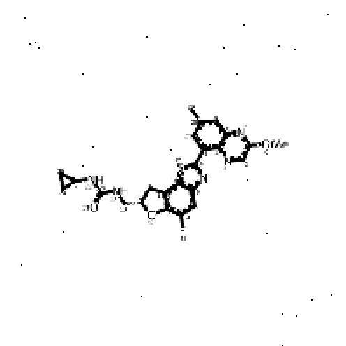 COc1cnc2c(-c3nc4cc(F)c5c(c4s3)C[C@@H](CNC(=O)NC3CC3)O5)cc(C)cc2n1